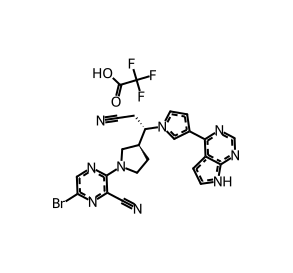 N#CC[C@@H]([C@H]1CCN(c2ncc(Br)nc2C#N)C1)n1ccc(-c2ncnc3[nH]ccc23)c1.O=C(O)C(F)(F)F